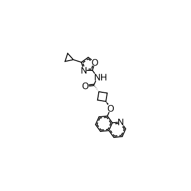 O=C(Nc1nc(C2CC2)co1)[C@H]1C[C@H](Oc2cccc3cccnc23)C1